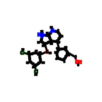 OCc1cccc(-c2ccnc3[nH]cc(Sc4cc(Cl)cc(Cl)c4)c23)c1